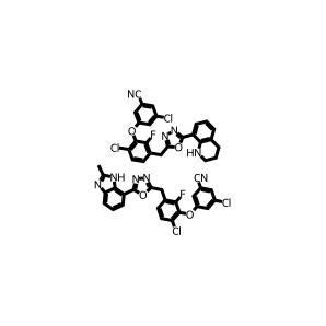 Cc1nc2cccc(-c3nnc(Cc4ccc(Cl)c(Oc5cc(Cl)cc(C#N)c5)c4F)o3)c2[nH]1.N#Cc1cc(Cl)cc(Oc2c(Cl)ccc(Cc3nnc(-c4cccc5c4NCCC5)o3)c2F)c1